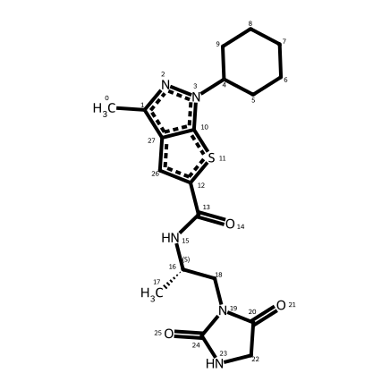 Cc1nn(C2CCCCC2)c2sc(C(=O)N[C@@H](C)CN3C(=O)CNC3=O)cc12